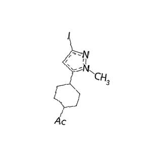 CC(=O)C1CCC(c2cc(I)nn2C)CC1